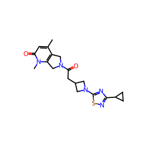 Cc1cc(=O)n(C)c2c1CN(C(=O)CC1CN(c3nc(C4CC4)ns3)C1)C2